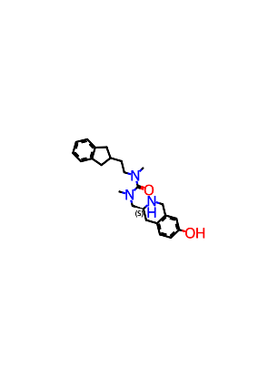 CN(CCC1Cc2ccccc2C1)C(=O)N(C)C[C@@H]1Cc2ccc(O)cc2CN1